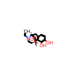 C=CN1CC[C@]23CCCC[C@@]2(O)C1Cc1ccc(O)c(O)c13